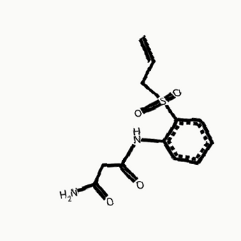 C=CCS(=O)(=O)c1ccccc1NC(=O)CC(N)=O